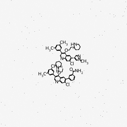 Cc1cc(C)cc(-c2cnc3cc(Cl)c(-c4cccc(C(N)=O)c4)cc3c2OCC[C@H]2CCCCN2)c1.Cc1cc(C)cc(-c2cnc3cc(Cl)c(-c4cnn(C)c4)cc3c2OCC[C@@H]2CCCCN2)c1